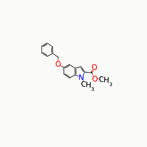 COC(=O)c1cc2cc(OCc3ccccc3)ccc2n1C